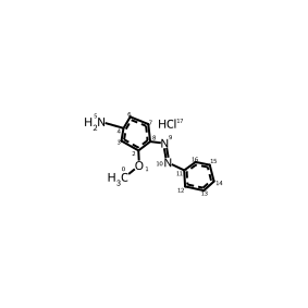 COc1cc(N)ccc1N=Nc1ccccc1.Cl